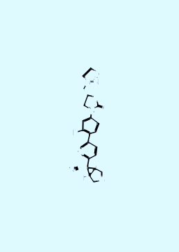 N#C[C@]1(c2ccc(-c3ccc(N4C[C@H](Cn5ccnn5)OC4=O)cc3F)cn2)[C@@H]2COC[C@@H]21